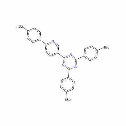 CCCCc1ccc(-c2ccc(-c3nc(-c4ccc(C(C)(C)C)cc4)nc(-c4ccc(C(C)(C)C)cc4)n3)cn2)cc1